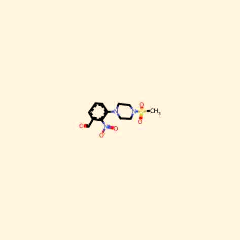 CS(=O)(=O)N1CCN(c2cccc(C=O)c2[N+](=O)[O-])CC1